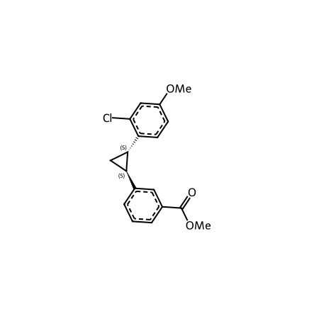 COC(=O)c1cccc([C@H]2C[C@@H]2c2ccc(OC)cc2Cl)c1